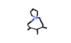 CC1C[N+]2(CCCCC2)CC(C)C1C